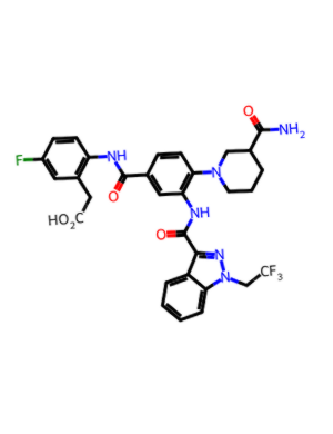 NC(=O)C1CCCN(c2ccc(C(=O)Nc3ccc(F)cc3CC(=O)O)cc2NC(=O)c2nn(CC(F)(F)F)c3ccccc23)C1